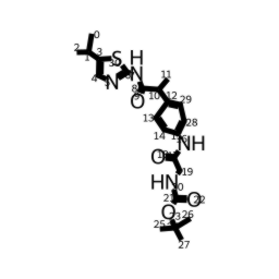 CC(C)c1cnc(NC(=O)C(C)c2ccc(NC(=O)CNC(=O)OC(C)(C)C)cc2)s1